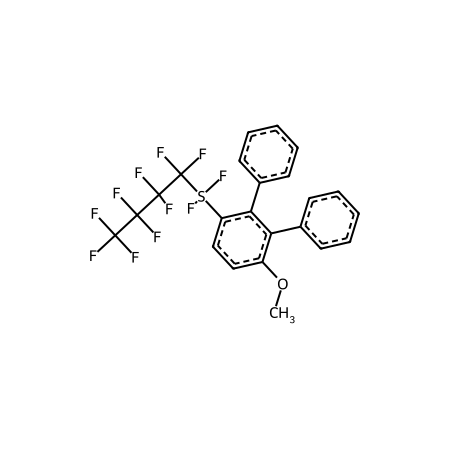 COc1ccc(S(F)(F)C(F)(F)C(F)(F)C(F)(F)C(F)(F)F)c(-c2ccccc2)c1-c1ccccc1